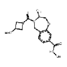 COC1CN(C(=O)N2Cc3ccc(C(=O)NO)cc3OCC2C)C1